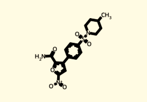 CC1CCN(S(=O)(=O)c2ccc(-c3cc([N+](=O)[O-])oc3C(N)=O)cc2)CC1